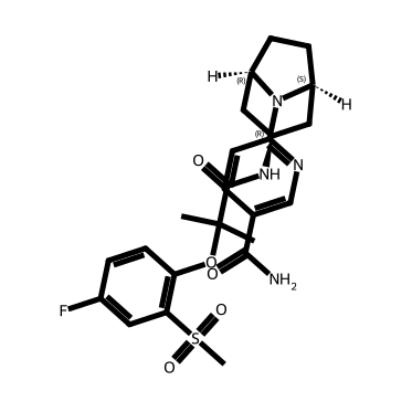 CC(C)(Oc1ccc(F)cc1S(C)(=O)=O)C(=O)N[C@H]1C[C@H]2CC[C@@H](C1)N2c1ccc(C(N)=O)cn1